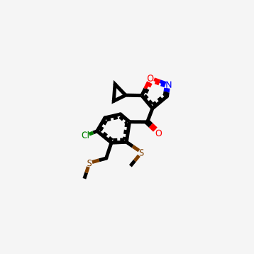 CSCc1c(Cl)ccc(C(=O)c2cnoc2C2CC2)c1SC